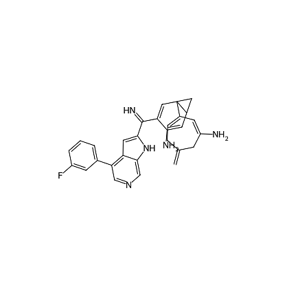 C=C1CC=C(C23C=C(C(=N)c4cc5c(-c6cccc(F)c6)cncc5[nH]4)C(N)=CC2C3)C=C(N)C1